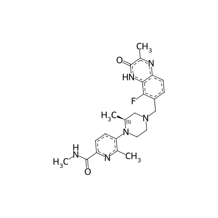 CNC(=O)c1ccc(N2CCN(Cc3ccc4nc(C)c(=O)[nH]c4c3F)C[C@@H]2C)c(C)n1